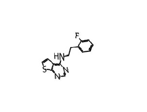 Fc1ccccc1CCNc1ncnc2sccc12